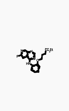 CCOC(=O)CCCOc1ccccc1Nc1ncnc2cnc(F)cc12